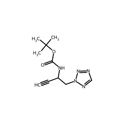 C#CC(Cn1ncnn1)NC(=O)OC(C)(C)C